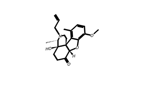 C=CCN1CC[C@@]23c4c(C)ccc(OC)c4O[C@@H]2C(=O)CC[C@]3(O)[C@@H]1C